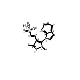 Cc1nn(C)c(-n2ccc3cccnc32)c1C=CS(N)(=O)=O